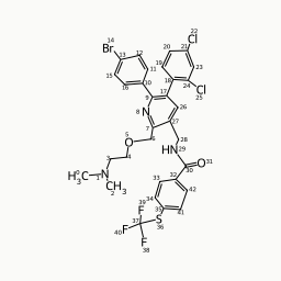 CN(C)CCOCc1nc(-c2ccc(Br)cc2)c(-c2ccc(Cl)cc2Cl)cc1CNC(=O)c1ccc(SC(F)(F)F)cc1